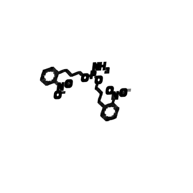 NP(OCCCc1ccccc1[N+](=O)[O-])OCCCc1ccccc1[N+](=O)[O-]